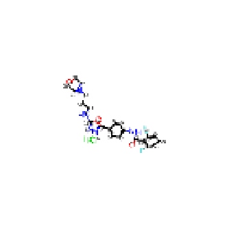 Cl.O=C(Nc1ccc(-c2nnc(NCCCN3CCOCC3)o2)cc1)c1c(F)cccc1F